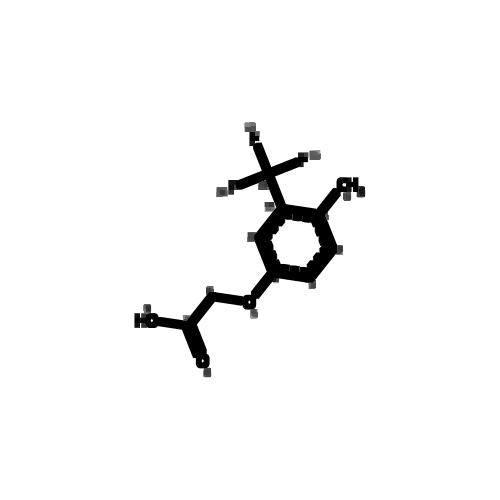 Cc1ccc(OCC(=O)O)cc1C(F)(F)F